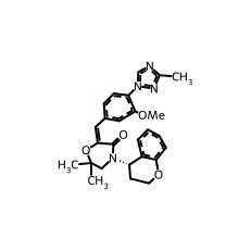 COc1cc(C=C2OC(C)(C)CN([C@H]3CCOc4ccccc43)C2=O)ccc1-n1cnc(C)n1